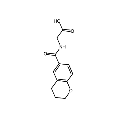 O=C(O)CNC(=O)c1ccc2c(c1)CCCO2